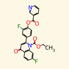 CCOC(=O)n1c(-c2ccc(OC(=O)c3cccnc3)c(F)c2)cc(=O)c2ccc(F)cc21